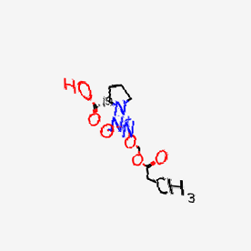 CCC(=O)OCO/N=[N+](\[O-])N1CCC[C@H]1C(=O)O